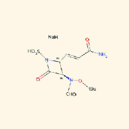 CC(C)(C)ON(C=O)[C@H]1C(=O)N(S(=O)(=O)O)[C@@H]1C=CC(N)=O.[NaH]